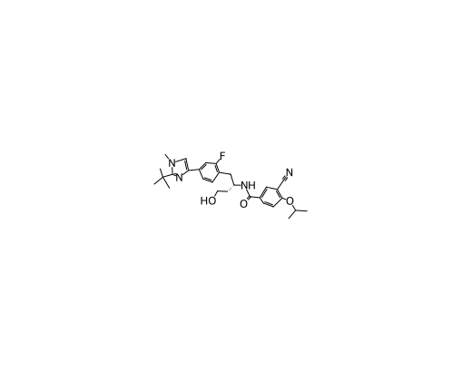 CC(C)Oc1ccc(C(=O)N[C@H](CCO)Cc2ccc(-c3cn(C)c(C(C)(C)C)n3)cc2F)cc1C#N